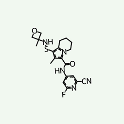 Cc1c(SNC2(C)COC2)c2n(c1C(=O)Nc1cc(F)nc(C#N)c1)CCCC2